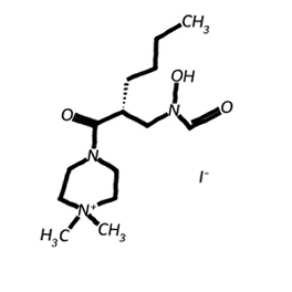 CCCC[C@H](CN(O)C=O)C(=O)N1CC[N+](C)(C)CC1.[I-]